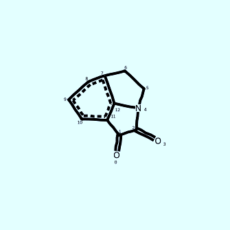 O=C1C(=O)N2CCc3cccc1c32